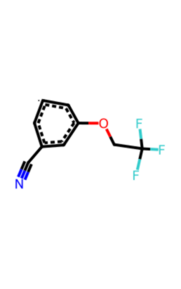 N#Cc1c[c]cc(OCC(F)(F)F)c1